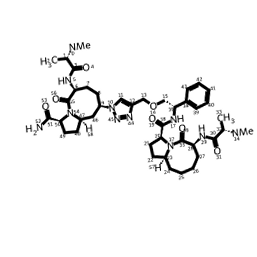 CN[C@@H](C)C(=O)N[C@H]1CC[C@@H](n2cc(COC[C@@H](NC(=O)[C@@H]3CC[C@@H]4CCCC[C@H](NC(=O)[C@H](C)NC)C(=O)N43)c3ccccc3)nn2)C[C@H]2CC[C@@H](C(N)=O)N2C1=O